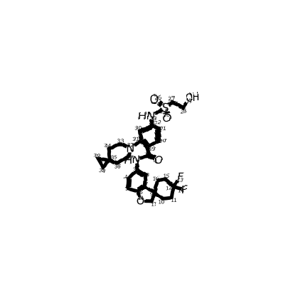 O=C(Nc1ccc2c(c1)C1(CCC(F)(F)CC1)CO2)c1ccc(NS(=O)(=O)CCO)cc1N1CCC2(CC1)CC2